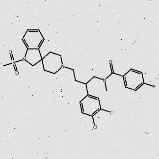 CN(CC(CCN1CCC2(CC1)CN(S(C)(=O)=O)c1ccccc12)c1ccc(Cl)c(Cl)c1)C(=O)c1ccc(F)cc1